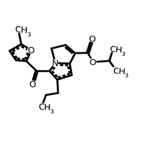 CCCc1cc2n(c1C(=O)c1ccc(C)o1)CC=C2C(=O)OC(C)C